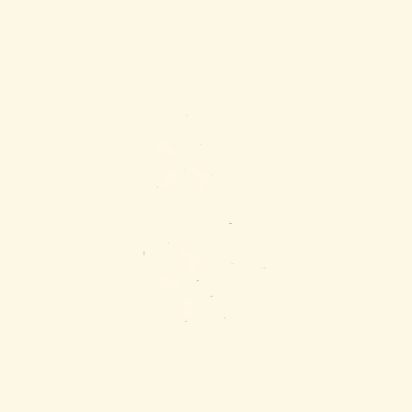 CC(C)(C)C(CC(OS(=O)(=O)c1ccccc1)C(C)(C)C)OS(=O)(=O)c1ccccc1